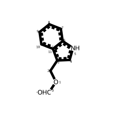 O=[C]OCc1c[nH]c2ccccc12